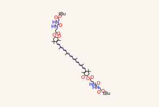 CC1=C(/C=C/C(C)=C/C=C/C(C)=C/C=C/C=C(C)/C=C/C=C(C)/C=C/C2=C(C)C(=O)C(OC(=O)CCNC(=O)NCC(=O)OC(C)(C)C)CC2(C)C)C(C)(C)CC(OC(=O)CCNC(=O)NCC(=O)OC(C)(C)C)C1=O